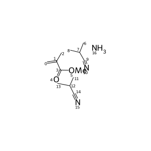 C=C(C)C(=O)OC.CC(C)C#N.CC(C)C#N.N